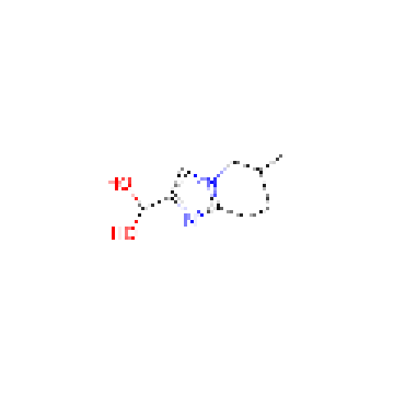 CC1CCc2nc(C(O)O)cn2C1